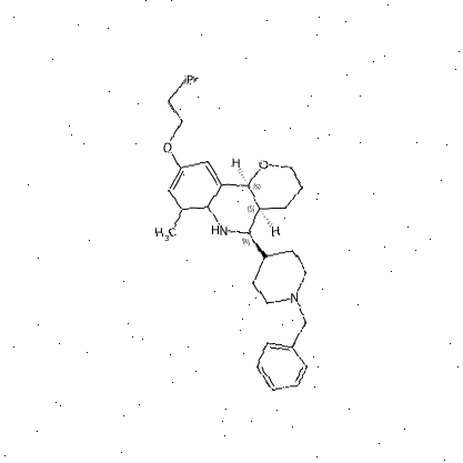 CC(C)CCOC1=CC(C)C2N[C@H](C3CCN(Cc4ccccc4)CC3)[C@@H]3CCCO[C@@H]3C2=C1